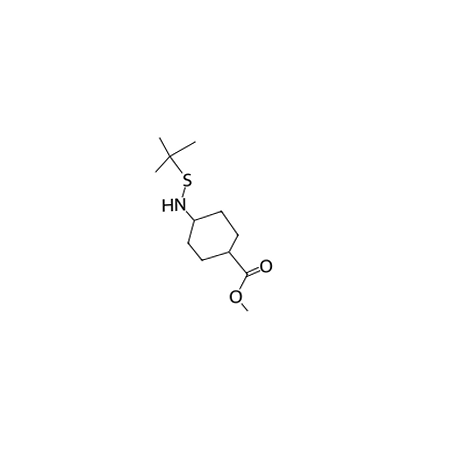 COC(=O)C1CCC(NSC(C)(C)C)CC1